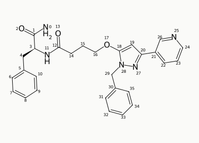 NC(=O)[C@H](Cc1ccccc1)NC(=O)CCCOc1cc(-c2cccnc2)nn1Cc1ccccc1